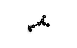 Cc1cc(-n2c3ccc(-c4ccccc4)cc3c3cc(-c4ccccc4)ccc32)cc(C)c1C#Cc1ccc(-c2nccc3ncccc23)cc1